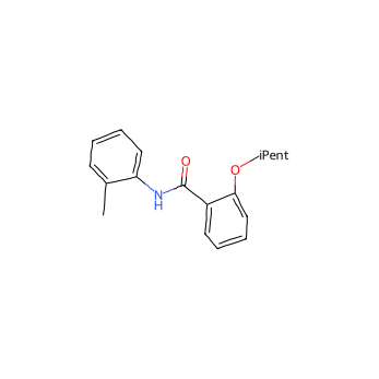 CCCC(C)Oc1ccccc1C(=O)Nc1ccccc1C